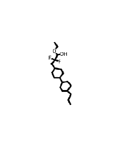 CCCC1CCC(C2CCC(CC(F)(F)C(O)OCC)CC2)CC1